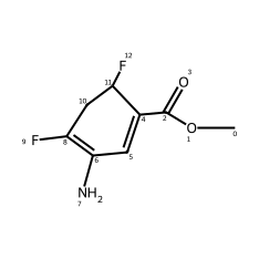 COC(=O)C1=CC(N)=C(F)CC1F